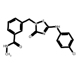 CNC(=O)c1cccc(Cn2sc(Nc3ccc(Cl)cc3)nc2=O)c1